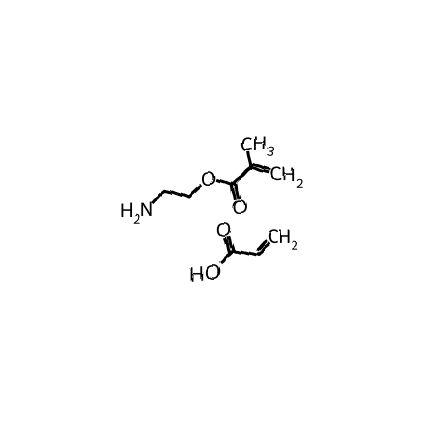 C=C(C)C(=O)OCCN.C=CC(=O)O